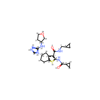 O=C(NCC1CC1)c1c(NC(=O)C2CC2)sc2c1C[C@@H](n1cnnc1N[C@H]1CCOC1)CC2